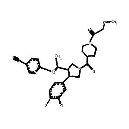 COCC(=O)N1CCC(C(=O)N2CC(c3ccc(Cl)c(Cl)c3)C(C(C)Oc3ccc(C#N)cn3)C2)CC1